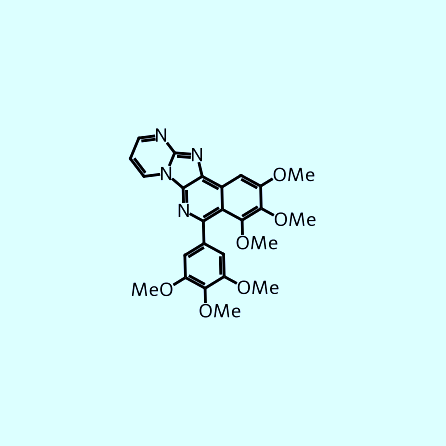 COc1cc(-c2nc3c(nc4ncccn43)c3cc(OC)c(OC)c(OC)c23)cc(OC)c1OC